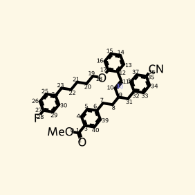 COC(=O)c1ccc(CCC(/C=C/c2ccccc2OCCCCCc2ccc(F)cc2)Cc2ccc(C#N)cc2)cc1